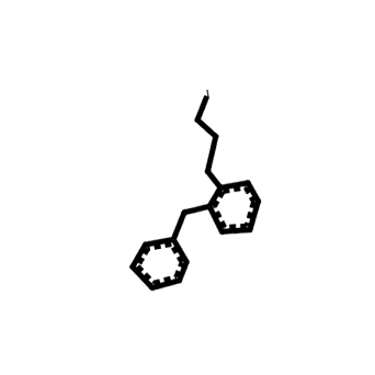 ICCCc1ccccc1Cc1ccccc1